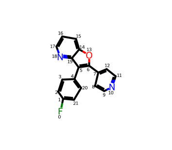 Fc1ccc(-c2c(-c3ccncc3)oc3cccnc23)cc1